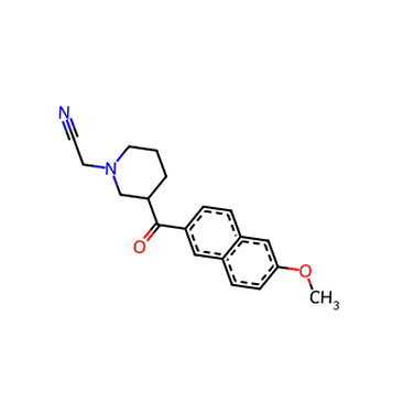 COc1ccc2cc(C(=O)C3CCCN(CC#N)C3)ccc2c1